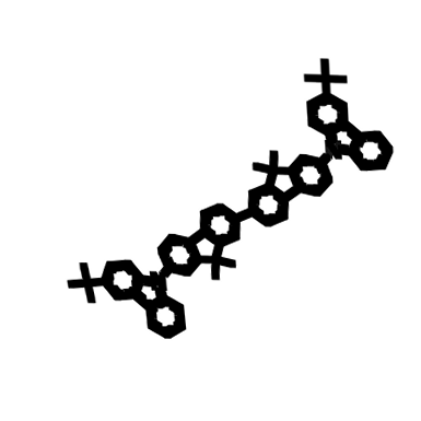 CC(C)(C)c1ccc2c(c1)c1ccccc1n2-c1ccc2c(c1)C(C)(C)c1cc(-c3ccc4c(c3)C(C)(C)c3cc(-n5c6ccccc6c6cc(C(C)(C)C)ccc65)ccc3-4)ccc1-2